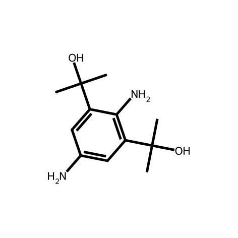 CC(C)(O)c1cc(N)cc(C(C)(C)O)c1N